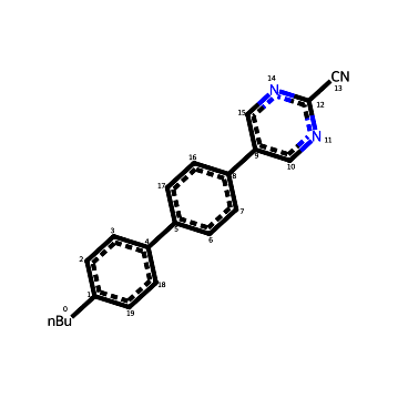 CCCCc1ccc(-c2ccc(-c3cnc(C#N)nc3)cc2)cc1